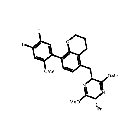 COC1=N[C@H](C(C)C)C(OC)=N[C@H]1Cc1ccc(-c2cc(F)c(F)cc2OC)c2c1CCCO2